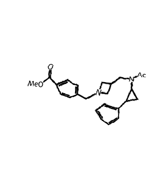 COC(=O)c1ccc(CN2CC(CN(C(C)=O)C3CC3c3ccccc3)C2)cc1